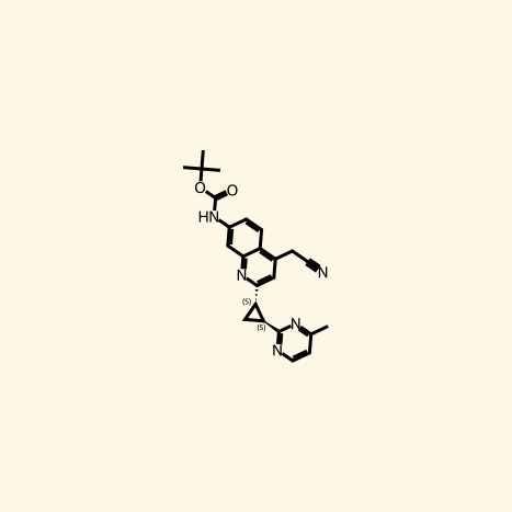 Cc1ccnc([C@H]2C[C@@H]2c2cc(CC#N)c3ccc(NC(=O)OC(C)(C)C)cc3n2)n1